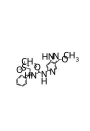 COc1n[nH]c2cc(NC(=O)N[C@H](C[S+](C)[O-])c3ccccc3)ncc12